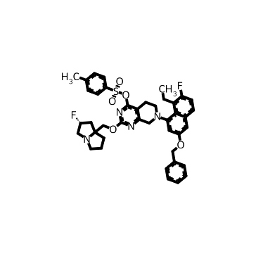 CCc1c(F)ccc2cc(OCc3ccccc3)cc(N3CCc4c(nc(OCC56CCCN5C[C@H](F)C6)nc4OS(=O)(=O)c4ccc(C)cc4)C3)c12